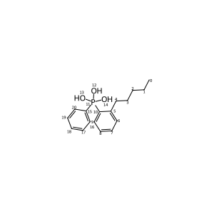 CCCCCc1ccccc1P(O)(O)(O)c1ccccc1